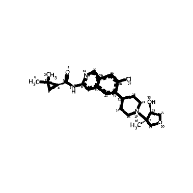 CC1(C)C[C@@H]1C(=O)Nc1cc2cc(C3CCN([C@]4(C)COC[C@@H]4O)CC3)c(Cl)cc2cn1